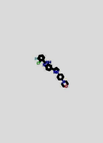 Fc1cccc(-c2nc3ccc(-c4ccn([C@H]5CC[C@H](N6CCOCC6)CC5)n4)cc3[nH]2)c1Cl